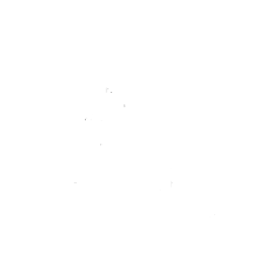 C[C@@H]1CN([C@H](c2ccc(C3CN(CCC(=O)O)C3)cc2)c2cccc(O)c2)[C@@H](C)CN1Cc1ccccc1